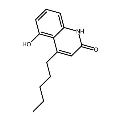 CCCCCc1cc(=O)[nH]c2cccc(O)c12